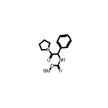 CC(C)(C)OC(=O)NC(C(=O)N1CCCC1)c1[c]cccc1